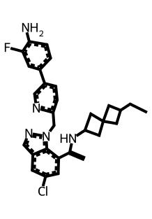 C=C(NC1CC2(CC(CC)C2)C1)c1cc(Cl)cc2cnn(Cc3ccc(-c4ccc(N)c(F)c4)cn3)c12